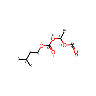 CC(C)CCOC(=O)OC(C)OC=O